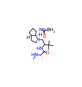 BC(=O)N[C@H]1CC[C@@H]2CCN(CC(NC(=O)[C@H](C)NC)C(C)(C)C)[C@@H]21